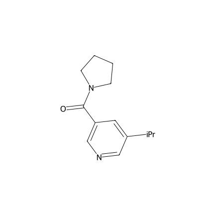 CC(C)c1cncc(C(=O)N2CCCC2)c1